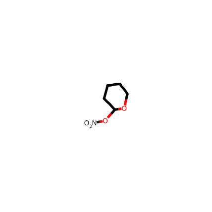 O=[N+]([O-])OC1CCCCO1